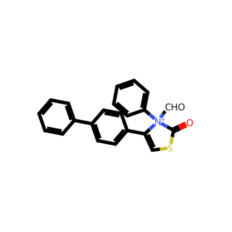 O=C[N+]1(c2ccccc2)C(=O)SC=C1c1ccc(-c2ccccc2)cc1